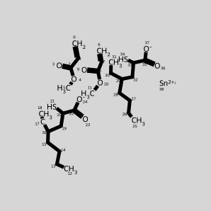 C=CC(=O)OC.C=CC(=O)OC.CCCCC(CC)CC(S)C(=O)[O-].CCCCC(CC)CC(S)C(=O)[O-].[Sn+2]